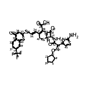 Nc1nc(/C(=N/OC2CCCC2)C(=O)NC2C(=O)N3C(C(=O)O)=C(/C=C/Sc4cc(=O)c5ccc(C(F)(F)F)cc5s4)CS[C@H]23)cs1